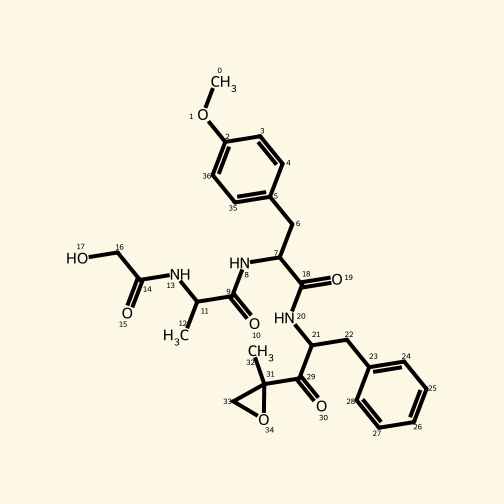 COc1ccc(CC(NC(=O)C(C)NC(=O)CO)C(=O)NC(Cc2ccccc2)C(=O)C2(C)CO2)cc1